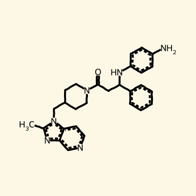 Cc1nc2cnccc2n1CC1CCN(C(=O)CC(Nc2ccc(N)cc2)c2ccccc2)CC1